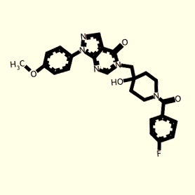 COc1ccc(-n2ncc3c(=O)n(CC4(O)CCN(C(=O)c5ccc(F)cc5)CC4)cnc32)cc1